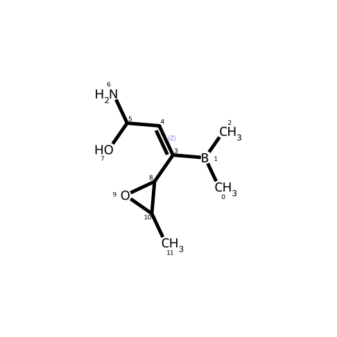 CB(C)/C(=C/C(N)O)C1OC1C